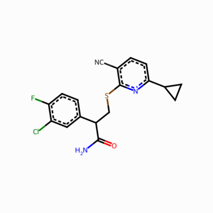 N#Cc1ccc(C2CC2)nc1SCC(C(N)=O)c1ccc(F)c(Cl)c1